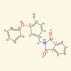 O=C1c2ccccc2C(=O)N1Cc1ccc(F)c(Oc2ccccc2)c1